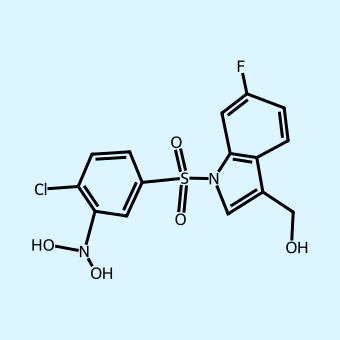 O=S(=O)(c1ccc(Cl)c(N(O)O)c1)n1cc(CO)c2ccc(F)cc21